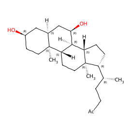 CC(=O)CC[C@@H](C)[C@H]1CC[C@H]2[C@@H]3[C@H](O)C[C@@H]4C[C@H](O)CC[C@]4(C)[C@H]3CC[C@]12C